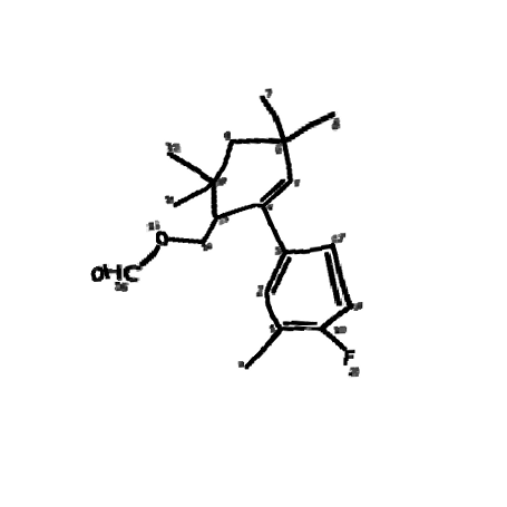 Cc1cc(C2=CC(C)(C)CC(C)(C)C2COC=O)ccc1F